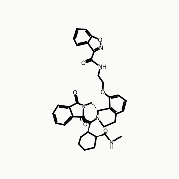 CNC(=O)[C@H]1CCCC[C@H]1C(=O)N1CCc2cccc(OCCNC(=O)c3noc4ccccc34)c2[C@H]1CN1C(=O)c2ccccc2C1=O